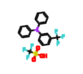 FC(F)(F)c1cccc(I(c2ccccc2)c2ccccc2)c1.O=S(=O)(O)C(F)(F)F